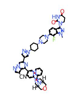 Cn1nc(N2CCC(=O)NC2=O)c2ccc(N3CCN([C@H]4CC[C@H](n5cc(-c6cn7ncc(C#N)c7c(-c7ccc(N8C[C@H]9COC[C@@H](C8)N9Cc8ccccn8)nc7)n6)cn5)CC4)CC3)c(F)c21